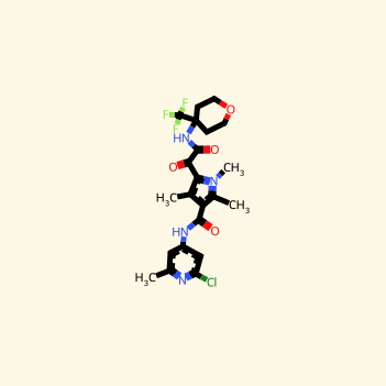 Cc1cc(NC(=O)c2c(C)c(C(=O)C(=O)NC3(C(F)(F)F)CCOCC3)n(C)c2C)cc(Cl)n1